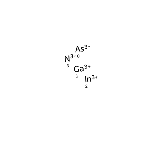 [As-3].[Ga+3].[In+3].[N-3]